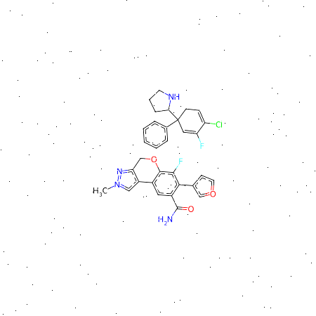 Cn1cc2c(n1)COc1c-2cc(C(N)=O)c(-c2ccoc2)c1F.FC1=CC(c2ccccc2)(C2CCCN2)CC=C1Cl